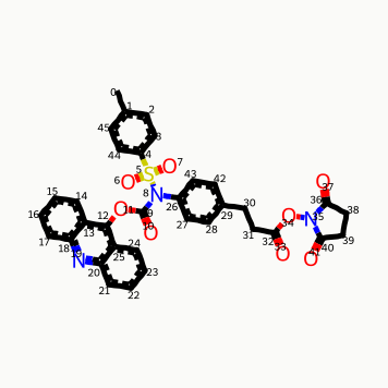 Cc1ccc(S(=O)(=O)N(C(=O)Oc2c3ccccc3nc3ccccc23)c2ccc(CCC(=O)ON3C(=O)CCC3=O)cc2)cc1